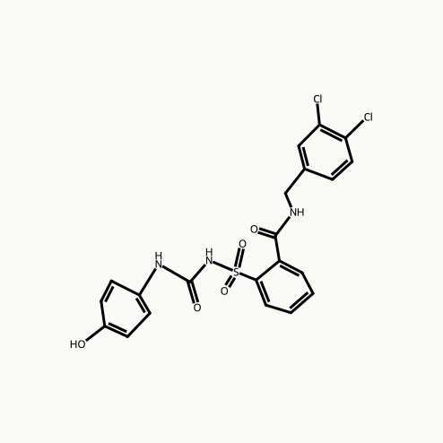 O=C(Nc1ccc(O)cc1)NS(=O)(=O)c1ccccc1C(=O)NCc1ccc(Cl)c(Cl)c1